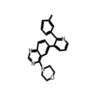 Cc1cccc(-c2ncccc2-c2ccc3ncnc(N4CCOCC4)c3c2)c1